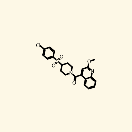 COc1cc(C(=O)N2CCC(S(=O)(=O)c3ccc(Cl)cc3)CC2)c2ccccc2n1